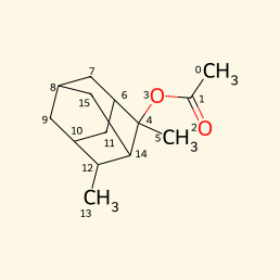 CC(=O)OC1(C)C2CC3CC(C2)C(C)C1C3